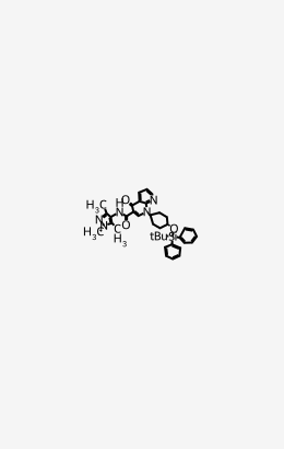 Cc1nn(C)c(C)c1NC(=O)c1cn([C@H]2CC[C@H](O[Si](c3ccccc3)(c3ccccc3)C(C)(C)C)CC2)c2ncccc2c1=O